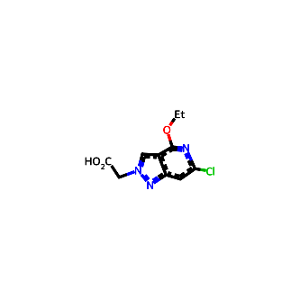 CCOc1nc(Cl)cc2nn(CC(=O)O)cc12